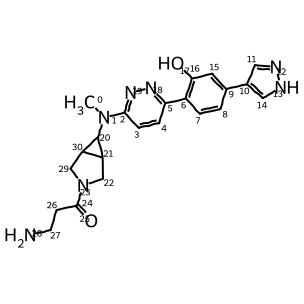 CN(c1ccc(-c2ccc(-c3cn[nH]c3)cc2O)nn1)C1C2CN(C(=O)CCN)CC21